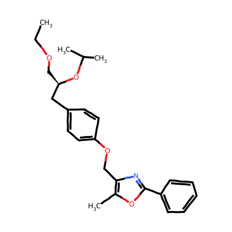 CCOC[C@H](Cc1ccc(OCc2nc(-c3ccccc3)oc2C)cc1)OC(C)C